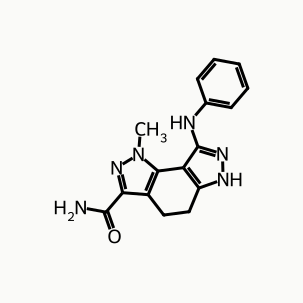 Cn1nc(C(N)=O)c2c1-c1c(Nc3ccccc3)n[nH]c1CC2